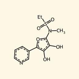 CCS(=O)(=O)N(C)c1oc(-c2cccnc2)c(O)c1O